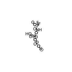 COc1ccc(CC(=O)Nc2ccc(C(=O)N(CC(=O)O)Cc3ccc(OC(=O)c4ccc(N5CCCCC5)cc4)cc3)cc2)c(C(F)(F)F)c1